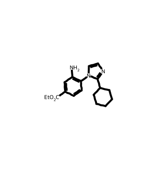 CCOC(=O)c1ccc(-n2ccnc2C2CCCCC2)c(N)c1